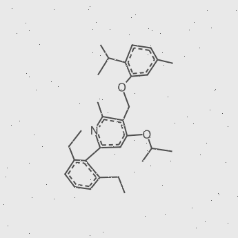 CCc1cccc(CC)c1-c1cc(OC(C)C)c(COc2cc(C)ccc2C(C)C)c(C)n1